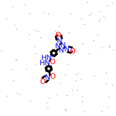 O=C(Nc1ccc(C(=O)N2CCOCC2)cc1)Nc1ccc(-c2nc(N3CCOCC3)nc(N3CCOCC3)n2)cc1